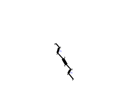 C/C=C/C#C/C=C/C